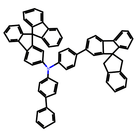 c1ccc(-c2ccc(N(c3ccc(-c4ccc5c(c4)C4(Cc6ccccc6C4)c4ccccc4-5)cc3)c3ccc4c(c3)C3(c5ccccc5-c5ccccc53)c3ccccc3-4)cc2)cc1